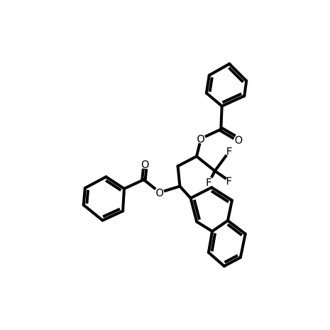 O=C(OC(CC(OC(=O)c1ccccc1)C(F)(F)F)c1ccc2ccccc2c1)c1ccccc1